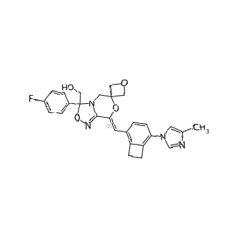 Cc1cn(-c2ccc(/C=C3\OC4(COC4)CN4C3=NOC4(CO)c3ccc(F)cc3)c3c2CC3)cn1